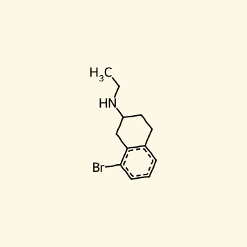 CCNC1CCc2cccc(Br)c2C1